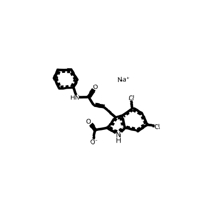 O=C(C=Cc1c(C(=O)[O-])[nH]c2cc(Cl)cc(Cl)c12)Nc1ccccc1.[Na+]